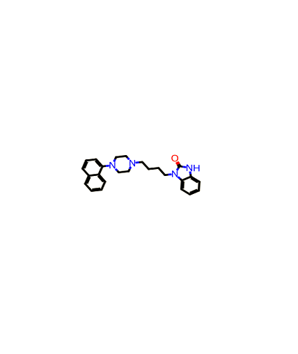 O=c1[nH]c2ccccc2n1CCCCN1CCN(c2cccc3ccccc23)CC1